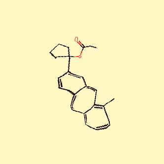 CC(=O)OC1(c2ccc3cc4cccc(C)c4cc3c2)CCCC1